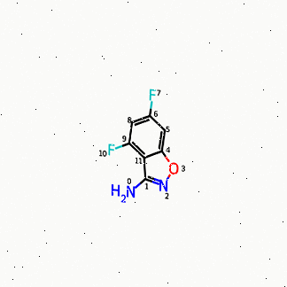 Nc1noc2cc(F)cc(F)c12